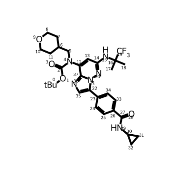 CC(C)(C)OC(=O)N(CC1CCOCC1)c1cc(NC(C)(C)C(F)(F)F)nn2c(-c3ccc(C(=O)NC4CC4)cc3)cnc12